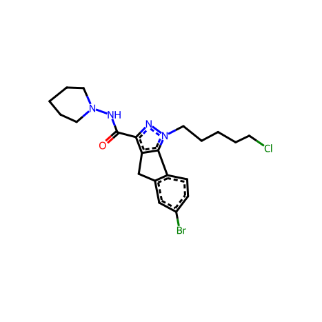 O=C(NN1CCCCC1)c1nn(CCCCCCl)c2c1Cc1cc(Br)ccc1-2